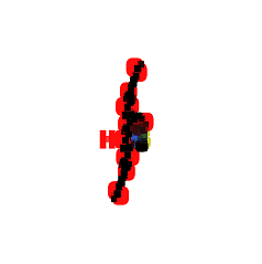 C=CC(=O)OCCCCCCOc1ccc(OC(=O)[C@H]2CC[C@H](C(=O)Oc3ccc(OC(O)[C@H]4CC[C@H](C(=O)Oc5ccc(OCCCCCCOC(=O)C=C)cc5)CC4)c(/C=N/N(CC4COc5ccccc5O4)c4nc5ccccc5s4)c3)CC2)cc1